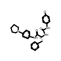 O=C(Nc1ccc(Cl)cc1)N[C@H](Cc1ccccc1)C(=O)Nc1ccc(N2CCCCC2)cc1